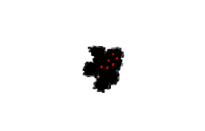 c1ccc(-c2cccc(-n3c4ccccc4c4cccc(-c5cc(-c6cccc7c8ccccc8n(-c8cccc(-c9ccccc9)n8)c67)nc(-c6ccccc6)n5)c43)n2)cc1